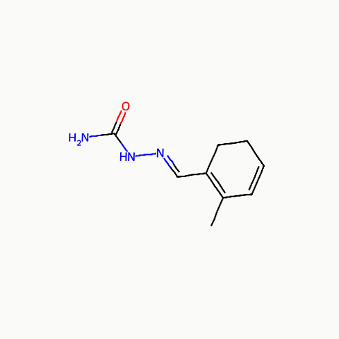 CC1=C(/C=N/NC(N)=O)CCC=C1